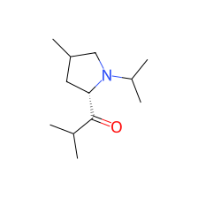 CC1C[C@@H](C(=O)C(C)C)N(C(C)C)C1